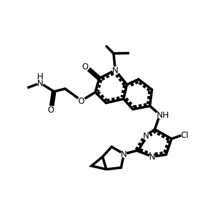 CNC(=O)COc1cc2cc(Nc3nc(N4CC5CC5C4)ncc3Cl)ccc2n(C(C)C)c1=O